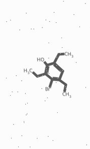 CCc1cc(CC)c(Br)c(CC)c1O